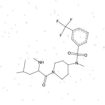 CNC(CC(C)C)C(=O)N1CCC(N(C)S(=O)(=O)c2cccc(C(F)(F)F)c2)CC1